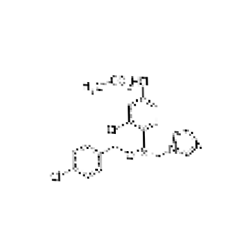 CC(=O)O.Clc1ccc(CO[C@@H](Cn2ccnc2)c2ccc(Cl)cc2Cl)cc1